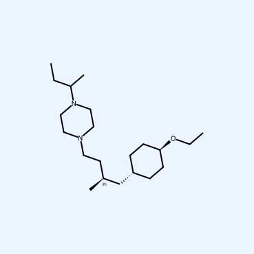 CCO[C@H]1CC[C@H](C[C@@H](C)CCN2CCN(C(C)CC)CC2)CC1